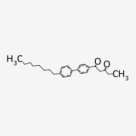 CCCCCCCCc1ccc(-c2ccc(C(=O)CC(=O)CC)cc2)cc1